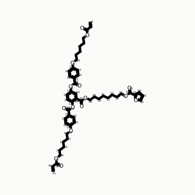 C=CC(=O)OCCCCCCOc1ccc(C(=O)Oc2ccc(OC(=O)c3ccc(OCCCCCCOC(=O)C=C)cc3)c(C(=O)OCCCCCCCCOC(=O)c3ccco3)c2)cc1